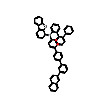 C1=Cc2c(oc3ccccc23)C(N(c2ccc(-c3ccc(-c4cccc(-c5ccc6ccccc6c5)c4)cc3)cc2)c2ccccc2-c2ccccc2-c2ccccc2)C1